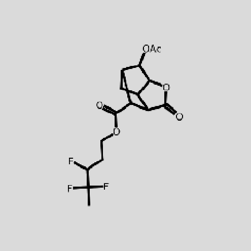 CC(=O)OC1C2CC3C1OC(=O)C3C2C(=O)OCCC(F)C(C)(F)F